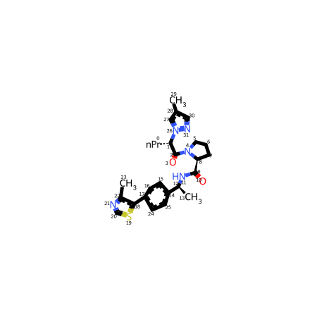 CCC[C@@H](C(=O)N1CCC[C@H]1C(=O)N[C@@H](C)c1ccc(-c2scnc2C)cc1)n1cc(C)cn1